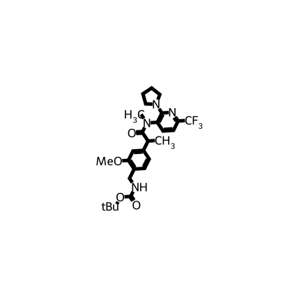 COc1cc(C(C)C(=O)N(C)c2ccc(C(F)(F)F)nc2N2CCCC2)ccc1CNC(=O)OC(C)(C)C